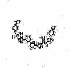 Cc1c(C(=O)Nc2nnc(-c3cc(-c4ccnc(-c5nnc(NC(=O)Cc6ccc(OC(F)(F)F)cc6)[nH]5)c4)ccn3)[nH]2)cnn1-c1ccc(C(F)(F)F)cn1